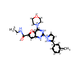 CCNC(=O)c1cc2nc(-n3ccc(-c4cccc(C)c4)n3)nc(N3CCOCC3)c2o1